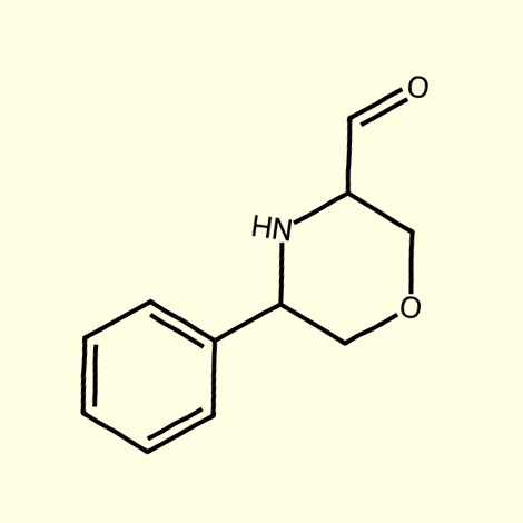 O=CC1COCC(c2ccccc2)N1